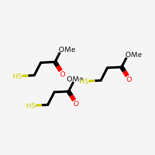 COC(=O)CCS.COC(=O)CCS.COC(=O)CCS